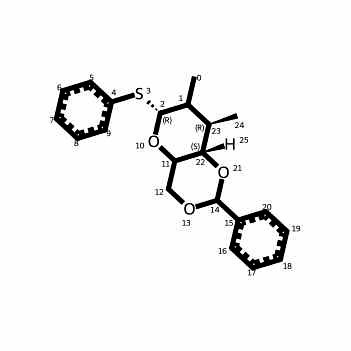 CC1[C@@H](Sc2ccccc2)OC2COC(c3ccccc3)O[C@H]2[C@@H]1C